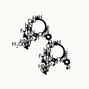 CC[C@@H]1[C@@H]2CN(C(=O)[C@H](C(C)(C)C)NC(=O)O[C@@H]3C[C@H]3CCCCC(F)(F)c3nc4ccc(OC)cc4nc3O2)[C@@H]1C(=O)N[C@]1(C(=O)NS(=O)(=O)C2(C)CC2)C[C@H]1C(F)F.CC[C@@H]1[C@@H]2CN(C(=O)[C@H](C(C)(C)C)NC(=O)O[C@@H]3C[C@H]3CCCCC(F)(F)c3nc4ccc(OC)cc4nc3O2)[C@@H]1C(=O)N[C@]1(C(=O)NS(=O)(=O)C2(C)CC2)C[C@H]1C(F)F.O